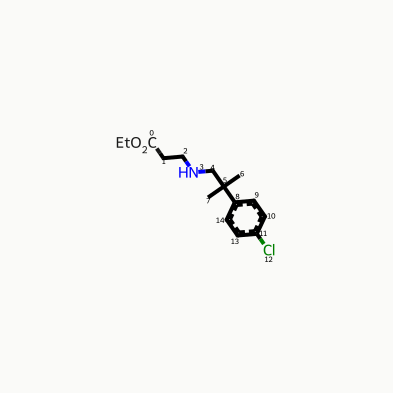 CCOC(=O)CCNCC(C)(C)c1ccc(Cl)cc1